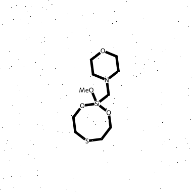 CO[Si]1(CN2CCOCC2)OCCSCCO1